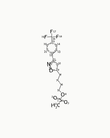 CS(=O)(=O)OCCCCc1cc(-c2ccc(C(F)(F)F)cc2)no1